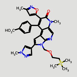 Cc1cc(-c2c(-c3ccc(C(=O)O)cc3)c3c4cc(-c5cnn(C)c5)n(COCCS(C)(C)C)c4ncc3n(C)c2=O)on1